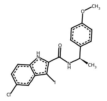 COc1ccc([C@@H](C)NC(=O)c2[nH]c3ccc(Cl)cc3c2I)cc1